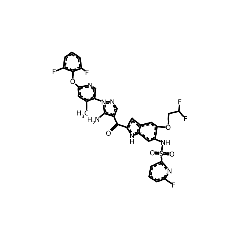 Cc1cc(Oc2c(F)cccc2F)ncc1-n1ncc(C(=O)c2cc3cc(OCC(F)F)c(NS(=O)(=O)c4cccc(F)n4)cc3[nH]2)c1N